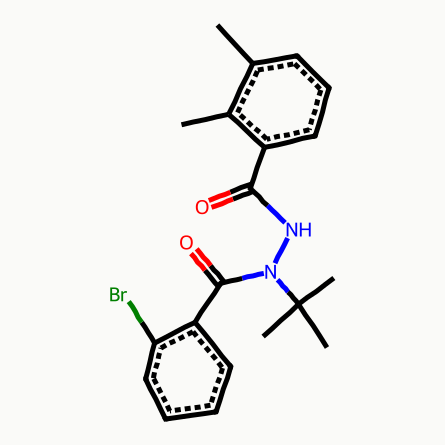 Cc1cccc(C(=O)NN(C(=O)c2ccccc2Br)C(C)(C)C)c1C